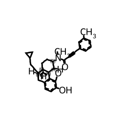 Cc1cccc(C#CC(=O)N(C)[C@@H]2CC[C@H]3[C@H]4Cc5ccc(O)c6c5[C@@]3(CCN4CC3CC3)[C@H]2O6)c1